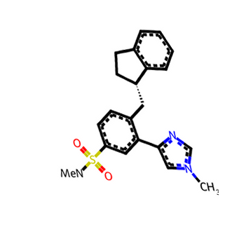 CNS(=O)(=O)c1ccc(C[C@@H]2CCc3ccccc32)c(-c2cn(C)cn2)c1